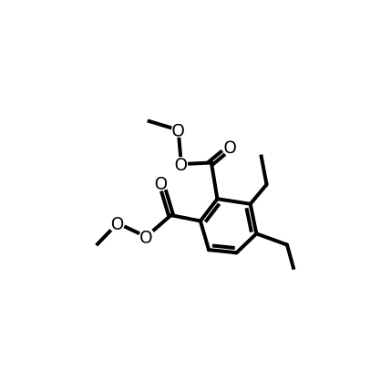 CCc1ccc(C(=O)OOC)c(C(=O)OOC)c1CC